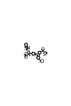 CC(=O)ON=C(CSc1nc2ccccc2s1)c1ccc(-n2c3ccc(C(C)=O)cc3c3cc(C(=O)c4cccs4)ccc32)cc1